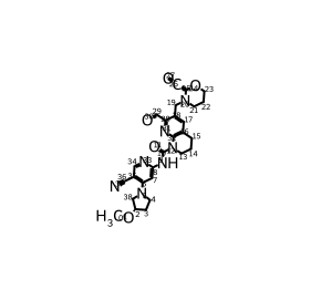 CO[C@@H]1CCN(c2cc(NC(=O)N3CCCc4cc(CN5CCCOC5=C=O)c(C=O)nc43)ncc2C#N)C1